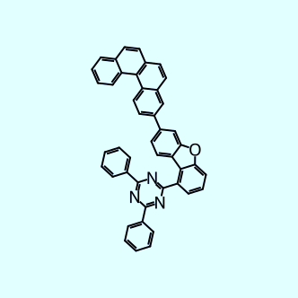 c1ccc(-c2nc(-c3ccccc3)nc(-c3cccc4oc5cc(-c6ccc7c(ccc8ccc9ccccc9c87)c6)ccc5c34)n2)cc1